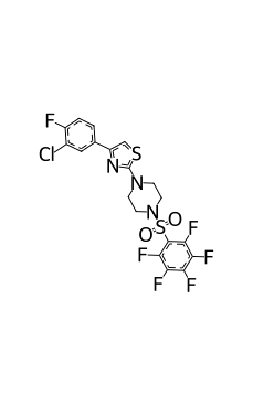 O=S(=O)(c1c(F)c(F)c(F)c(F)c1F)N1CCN(c2nc(-c3ccc(F)c(Cl)c3)cs2)CC1